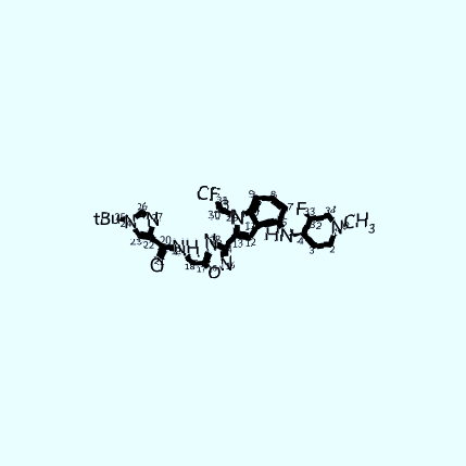 CN1CC[C@@H](Nc2cccc3c2cc(-c2noc(CNC(=O)c4cn(C(C)(C)C)cn4)n2)n3CC(F)(F)F)[C@@H](F)C1